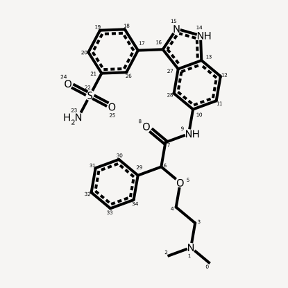 CN(C)CCOC(C(=O)Nc1ccc2[nH]nc(-c3cccc(S(N)(=O)=O)c3)c2c1)c1ccccc1